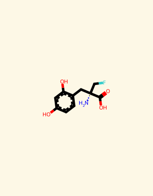 N[C@@](CF)(Cc1ccc(O)cc1O)C(=O)O